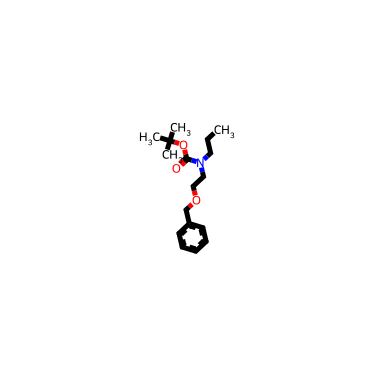 CCCN(CCOCc1ccccc1)C(=O)OC(C)(C)C